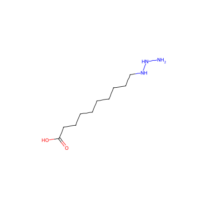 NNNCCCCCCCCCC(=O)O